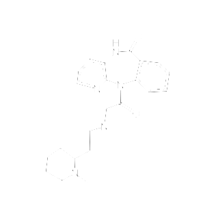 CN1CCCCC1CCNCC(=O)N1c2ccccc2C(=O)Nc2cccnc21